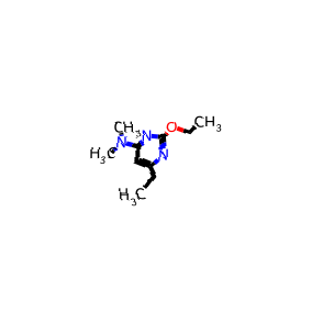 CCOc1nc(CC)cc(N(C)C)n1